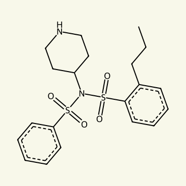 CCCc1ccccc1S(=O)(=O)N(C1CCNCC1)S(=O)(=O)c1ccccc1